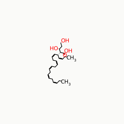 CC/C=C\C/C=C\C/C=C\C/C=C\C/C=C\[C@@H](/C=C\CC)C(C(=O)O)[C@H](O)CCO